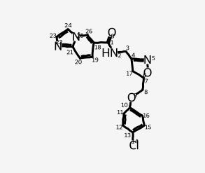 O=C(NCC1=NOC(COc2ccc(Cl)cc2)C1)c1ccc2nccn2c1